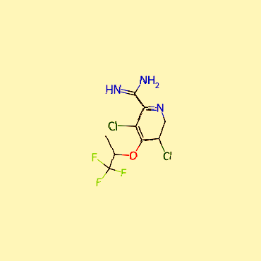 CC(OC1=C(Cl)C(C(=N)N)=NCC1Cl)C(F)(F)F